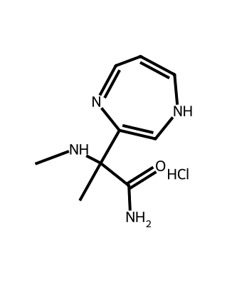 CNC(C)(C(N)=O)C1=CNC=CC=N1.Cl